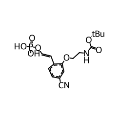 CC(C)(C)OC(=O)NCCOc1cc(C#N)ccc1C=COP(=O)(O)O